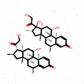 C[C@@H]1C[C@H]2[C@@H]3C[C@H](F)C4=CC(=O)C=C[C@]4(C)[C@@]3(F)[C@@H](O)C[C@]2(C)[C@H]1C(=O)CO.C[C@H]1C[C@H]2[C@@H]3C[C@H](F)C4=CC(=O)C=C[C@]4(C)[C@@]3(F)[C@@H](O)C[C@]2(C)[C@@]1(O)C(=O)CO